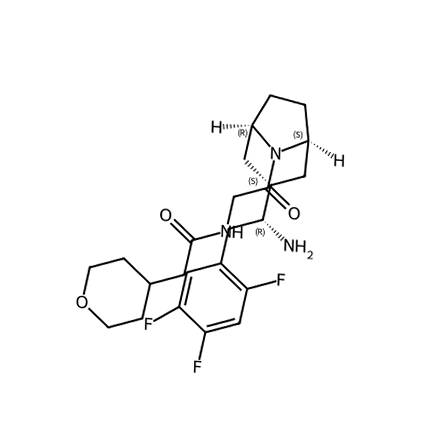 N[C@H](Cc1cc(F)c(F)cc1F)[C@@H]1C[C@H]2CC[C@@H](C1)N2C(=O)CNC(=O)CC1CCOCC1